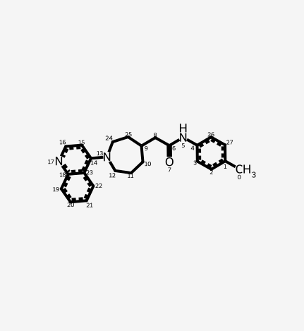 Cc1ccc(NC(=O)CC2CCCN(c3ccnc4ccccc34)CC2)cc1